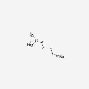 CCCCCCCCC([O])O